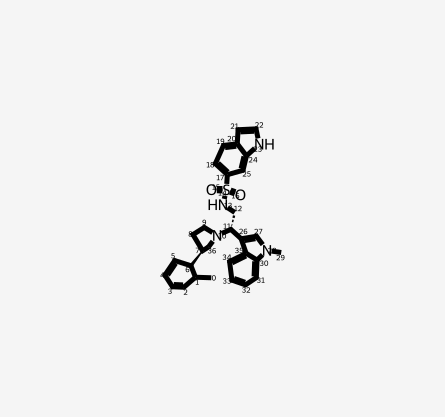 CC1C=CC=CC1[C@H]1CCN([C@H](CNS(=O)(=O)c2ccc3cc[nH]c3c2)c2cn(C)c3ccccc23)C1